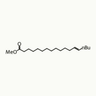 CCCCC=CCCCCCCCCCCCC(=O)OC